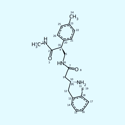 CNC(=O)[C@H](CNC(=O)C[C@H](N)Cc1ccccc1F)c1ccc(C)cc1